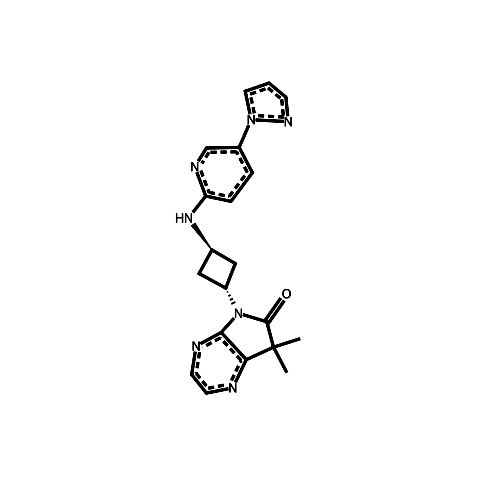 CC1(C)C(=O)N([C@H]2C[C@H](Nc3ccc(-n4cccn4)cn3)C2)c2nccnc21